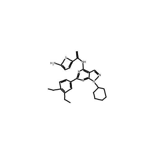 C=C(Nc1nc(-c2ccc(CC)c(CC)c2)nc2c1cnn2C1CCCCC1)c1ccc(N)s1